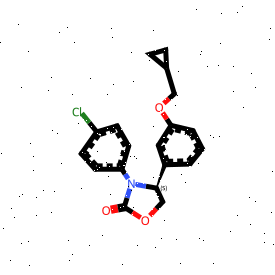 O=C1OC[C@H](c2cccc(OCC3CC3)c2)N1c1ccc(Cl)cc1